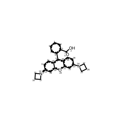 O=C(O)c1ccccc1-c1c2ccc(=[N+]3CCC3)cc-2oc2cc(N3CCC3)ccc12